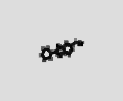 BrCc1ccc2nc(C3CCCCC3)sc2c1